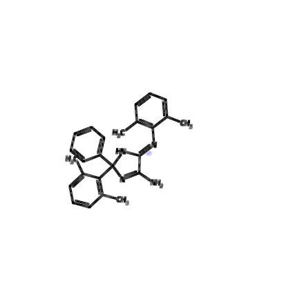 Cc1cccc(C)c1/N=C1\NC(c2ccccc2)(c2c(C)cccc2C)N=C1N